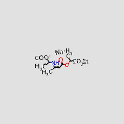 CCOC(=O)C(C)OC(=O)C=C(C)NC(C)C(=O)[O-].[Na+]